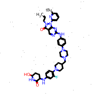 C=CCn1c(=O)c2cnc(Nc3ccc(N4CCN(CC5CCN(c6ccc(NC7CCC(O)NC7=O)cc6F)CC5)CC4)cc3)nc2n1-c1cccc(C(C)(C)C)n1